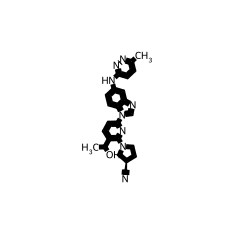 Cc1ccc(Nc2ccc3c(c2)ncn3-c2ccc(C(C)O)c(N3CC[C@@H](C#N)C3)n2)nn1